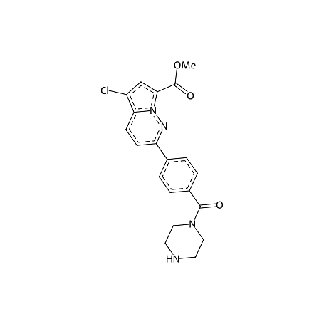 COC(=O)c1cc(Cl)c2ccc(-c3ccc(C(=O)N4CCNCC4)cc3)nn12